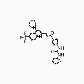 O=C(Nc1ccc(C(=O)C=Cc2cc(N3CCCCC3)c3cc(C(F)(F)F)ccc3n2)cc1)Nc1ccccn1